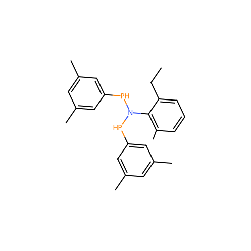 CCc1cccc(C)c1N(Pc1cc(C)cc(C)c1)Pc1cc(C)cc(C)c1